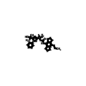 CCCc1c2c(c(NC(=O)N=S(N)(=S)c3cc(C(C)(C)O)n(-c4ccccc4)n3)c3c1CCC3)CCC2